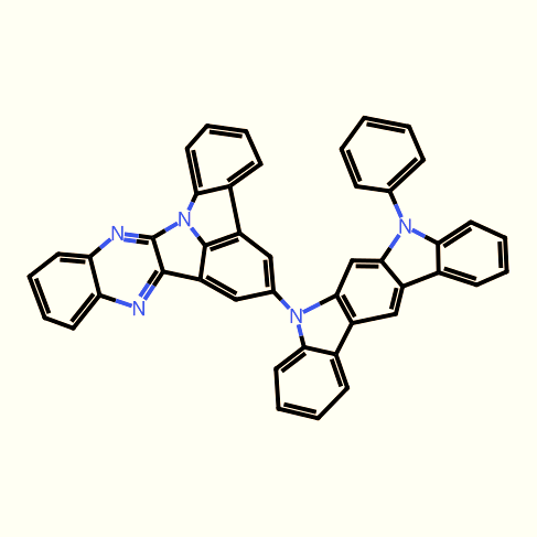 c1ccc(-n2c3ccccc3c3cc4c5ccccc5n(-c5cc6c7ccccc7n7c8nc9ccccc9nc8c(c5)c67)c4cc32)cc1